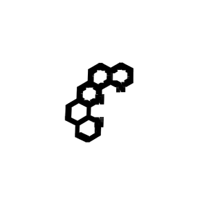 C1=CC2C=Cc3cc4ccc5cccnc5c4nc3C2N=C1